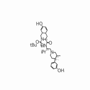 CC(C)[C@@H](CN1CC[C@](C)(c2cccc(O)c2)[C@H](C)C1)NC(=O)[C@@H]1CC2C=CC(O)=CC2CN1C(=O)OC(C)(C)C